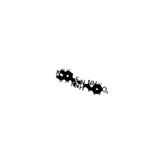 COc1ccc(C[C@@H](N)CNc2nnc(-c3ccc4cnccc4c3)s2)cc1